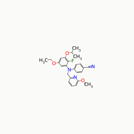 CCOc1cc(OC(C)C)c(F)c(N(Cc2cccc(OC)n2)c2ccc(C#N)cc2)c1